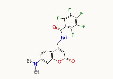 CCN(CC)c1ccc2c(CNC(=O)c3c(F)c(F)c(F)c(F)c3F)cc(=O)oc2c1